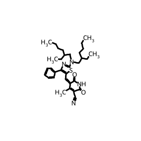 CCCCC(CC)CN(CC(CC)CCCC)c1nc(-c2ccccc2)c(/C=C2\C(=O)NC(=O)C(C#N)=C2C)s1